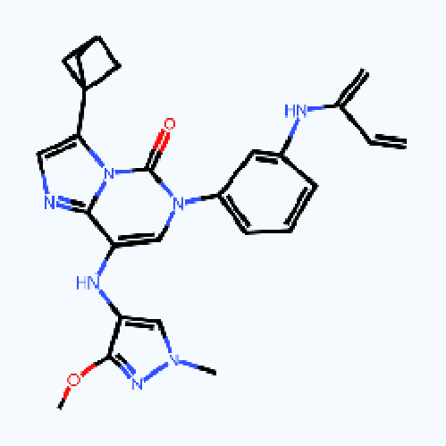 C=CC(=C)Nc1cccc(-n2cc(Nc3cn(C)nc3OC)c3ncc(C45CC(C4)C5)n3c2=O)c1